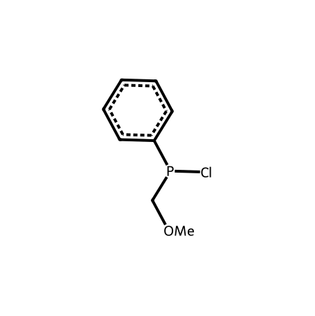 COCP(Cl)c1ccccc1